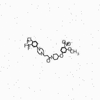 COc1cc(OC2CCN(C(=O)CCN3CCN(c4ccc(Cl)c(C(F)(F)F)c4)CC3)CC2)ccc1[N+](=O)[O-]